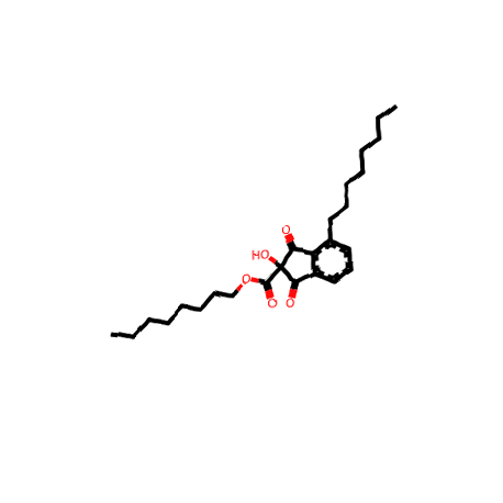 CCCCCCCCOC(=O)C1(O)C(=O)c2cccc(CCCCCCCC)c2C1=O